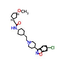 CO[C@H]1CC[C@H](CC(=O)N[C@H]2CC[C@H](CCN3CCC(c4noc5cc(Cl)ccc45)CC3)CC2)C1